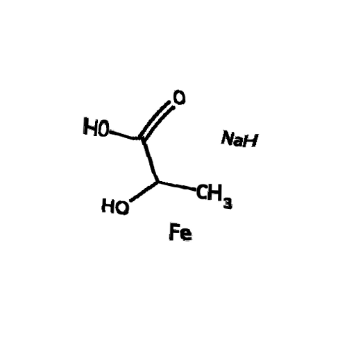 CC(O)C(=O)O.[Fe].[NaH]